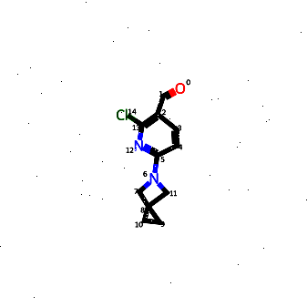 O=Cc1ccc(N2CC3(CC3)C2)nc1Cl